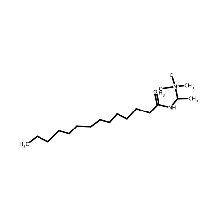 CCCCCCCCCCCCCC(=O)NC(C)[N+](C)(C)[O-]